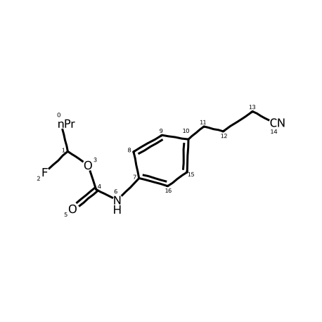 CCCC(F)OC(=O)Nc1ccc(CCCC#N)cc1